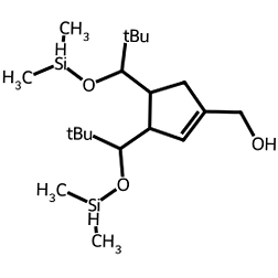 C[SiH](C)OC(C1C=C(CO)CC1C(O[SiH](C)C)C(C)(C)C)C(C)(C)C